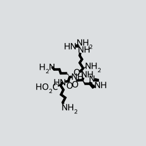 N=C(N)NCCC[C@H](N)C(=O)N[C@@H](Cc1c[nH]cn1)C(=O)N[C@@H](CCCCN)C(=O)N[C@@H](CCCCN)C(=O)O